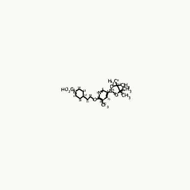 CC1(C)OB(c2cnc(OCCC3CCN(C(=O)O)CC3)c(C(F)(F)F)c2)OC1(C)C